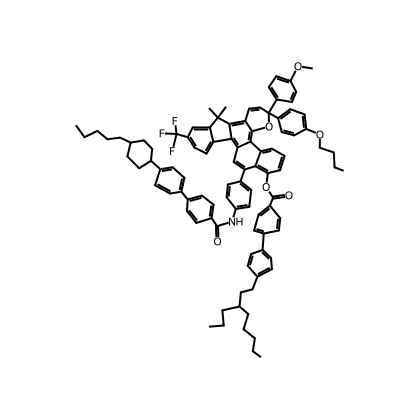 CCCCCC(CCC)CCc1ccc(-c2ccc(C(=O)Oc3cccc4c3c(-c3ccc(NC(=O)c5ccc(-c6ccc(C7CCC(CCCCC)CC7)cc6)cc5)cc3)cc3c5c(c6c(c34)OC(c3ccc(OC)cc3)(c3ccc(OCCCC)cc3)C=C6)C(C)(C)c3cc(C(F)(F)F)ccc3-5)cc2)cc1